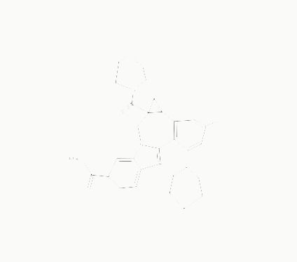 COC(=O)c1ccc2c(C3CCCCC3)c3n(c2c1)CC1(C(=O)N2CCOCC2)CC1c1cc(C)ccc1-3